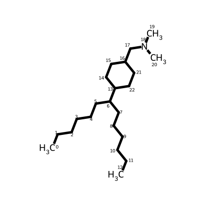 CCCCCCC(CCCCCC)C1CCC(CN(C)C)CC1